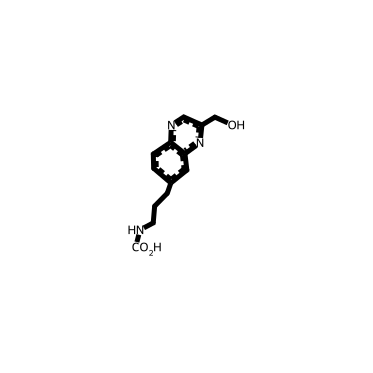 O=C(O)NCCCc1ccc2ncc(CO)nc2c1